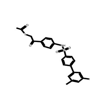 CC(=O)SCC(=O)c1ccc(NS(=O)(=O)c2ccc(-c3cc(C)cc(I)c3)cc2)cc1